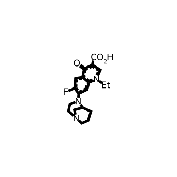 CCn1cc(C(=O)O)c(=O)c2cc(F)c(N3CCN4CCCC3C4)cc21